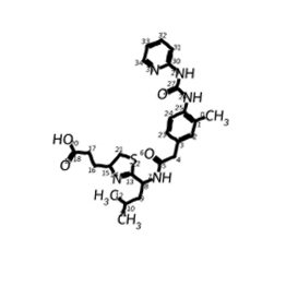 Cc1cc(CC(=O)NC(CC(C)C)C2=NC(CCC(=O)O)CS2)ccc1NC(=O)Nc1ccccn1